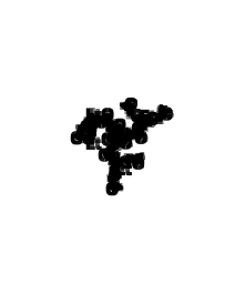 CCOCOCC(CC)(COCC1CO1)COC(=O)CCn1c(=O)n(CCC(=O)OCC(CC)(COCC2CO2)COCC2CO2)c(=O)n(CCC(=O)OCC(CC)(COCC2CO2)COCC2CO2)c1=O